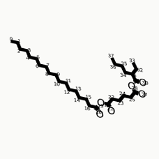 CCCCCCCCCCCCCCCCCC(=O)OC(=O)CCCCC(=O)OC(=O)C(CC)CCCC